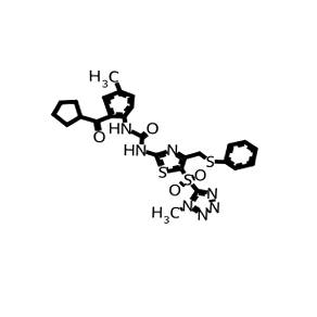 Cc1ccc(NC(=O)Nc2nc(CSc3ccccc3)c(S(=O)(=O)c3nnnn3C)s2)c(C(=O)C2CCCC2)c1